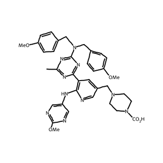 COc1ccc(CN(Cc2ccc(OC)cc2)c2nc(C)nc(-c3cc(CN4CCN(C(=O)O)CC4)cnc3Nc3cnc(OC)nc3)n2)cc1